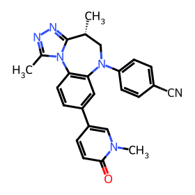 Cc1nnc2n1-c1ccc(-c3ccc(=O)n(C)c3)cc1N(c1ccc(C#N)cc1)C[C@H]2C